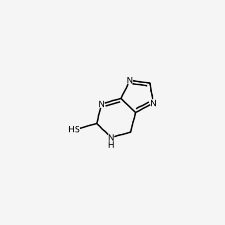 SC1N=C2N=CN=C2CN1